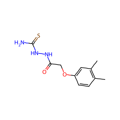 Cc1ccc(OCC(=O)NNC(N)=S)cc1C